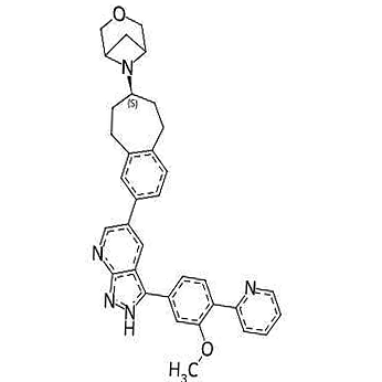 COc1cc(-c2[nH]nc3ncc(-c4ccc5c(c4)CC[C@@H](N4C6COCC4C6)CC5)cc23)ccc1-c1ccccn1